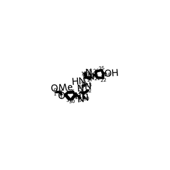 COCCOc1ccc(-n2nnc3cnc(Nc4cnn(C5CCC(O)CC5)c4)nc32)cc1